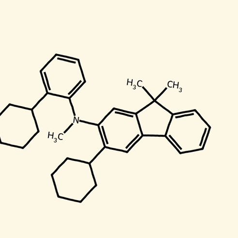 CN(c1ccccc1C1CCCCC1)c1cc2c(cc1C1CCCCC1)-c1ccccc1C2(C)C